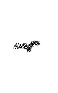 COc1cc2cnnc(N3CCC(Oc4ccc(F)cc4)CC3)c2cc1OC